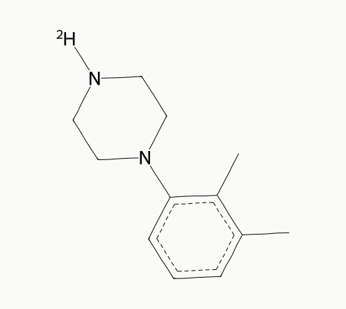 [2H]N1CCN(c2cccc(C)c2C)CC1